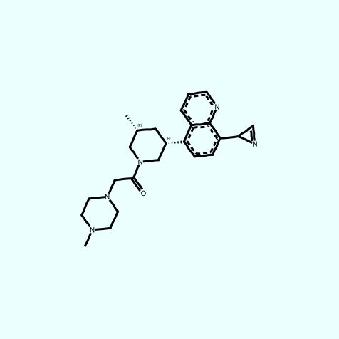 C[C@@H]1C[C@H](c2ccc(C3C=N3)c3ncccc23)CN(C(=O)CN2CCN(C)CC2)C1